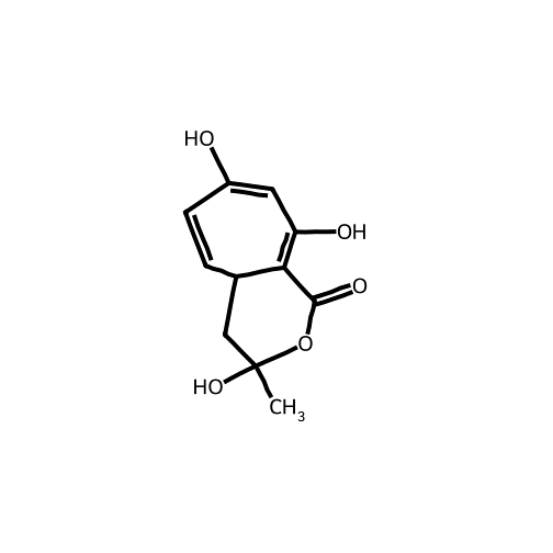 CC1(O)CC2C=CC(O)=CC(O)=C2C(=O)O1